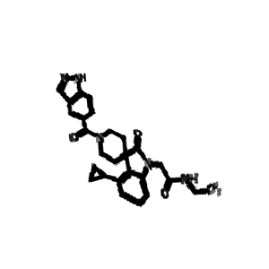 O=C(CN1C(=O)C2(CCN(C(=O)c3ccc4[nH]ncc4c3)CC2)c2c(C3CC3)cccc21)NCC(F)(F)F